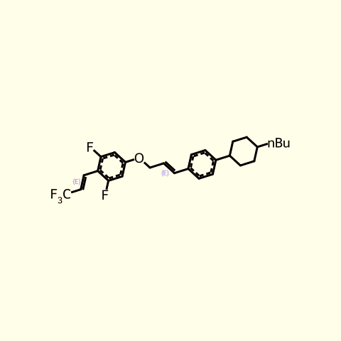 CCCCC1CCC(c2ccc(/C=C/COc3cc(F)c(/C=C/C(F)(F)F)c(F)c3)cc2)CC1